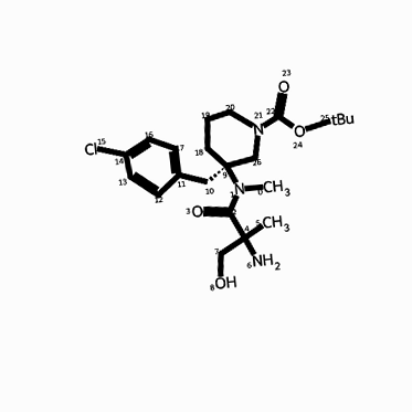 CN(C(=O)C(C)(N)CO)[C@@]1(Cc2ccc(Cl)cc2)CCCN(C(=O)OC(C)(C)C)C1